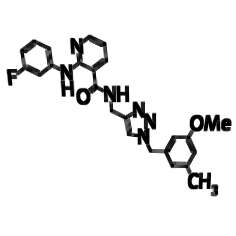 COc1cc(C)cc(Cn2cc(CNC(=O)c3cccnc3Nc3cccc(F)c3)nn2)c1